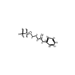 CC(C)(C)[Si](C)(C)OCCCNCc1ccccc1